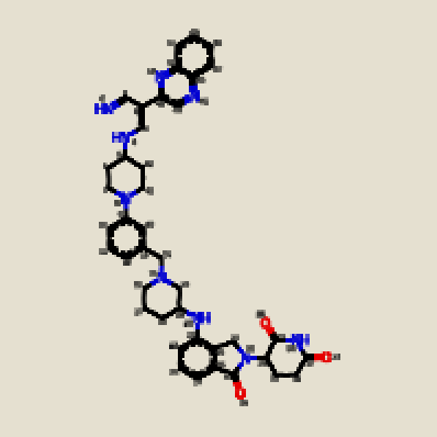 N=C/C(=C\NC1CCN(c2cccc(CN3CCCC(Nc4cccc5c4CN(C4CCC(=O)NC4=O)C5=O)C3)c2)CC1)c1cnc2ccccc2n1